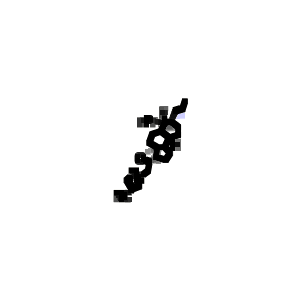 C/C=C/[C@H]1CC[C@H]2C3CC[C@H](C(=O)Cn4cc(C#N)cn4)[C@@]3(C)CCC2[C@@]1(F)CCC